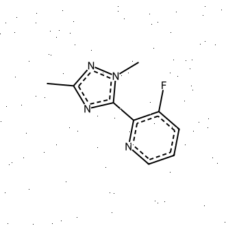 Cc1nc(-c2ncccc2F)n(C)n1